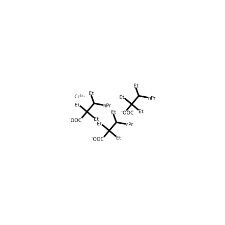 CCCC(CC)C(CC)(CC)C(=O)[O-].CCCC(CC)C(CC)(CC)C(=O)[O-].CCCC(CC)C(CC)(CC)C(=O)[O-].[Cr+3]